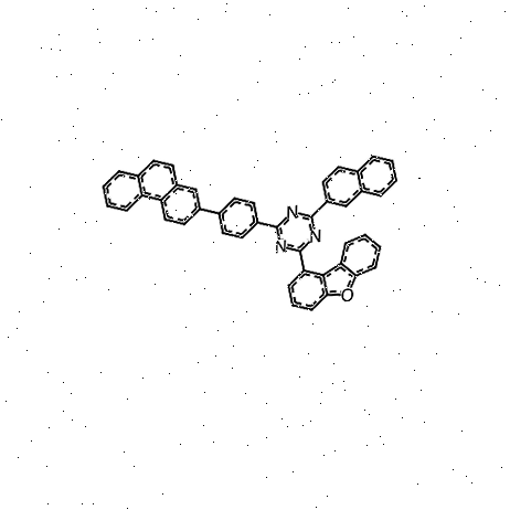 c1ccc2cc(-c3nc(-c4ccc(-c5ccc6c(ccc7ccccc76)c5)cc4)nc(-c4cccc5oc6ccccc6c45)n3)ccc2c1